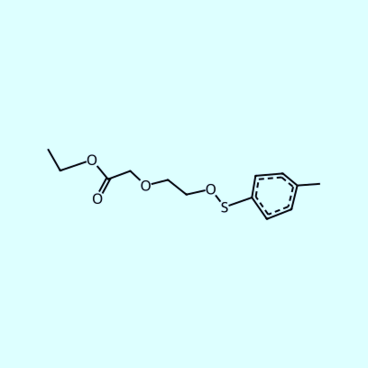 CCOC(=O)COCCOSc1ccc(C)cc1